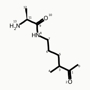 CC(=O)C(C)CCCNC(=O)[C@H](C)N